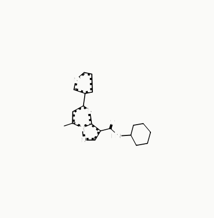 Cc1cc(-c2cccnc2)nc2c(C(=O)NC3CCCCC3)cnn12